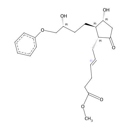 COC(=O)CC/C=C/C[C@H]1C(=O)C[C@@H](O)[C@@H]1CC[C@@H](O)COc1ccccc1